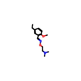 CCc1ccc(OC)c(/C=N/OCCN(C)C)c1